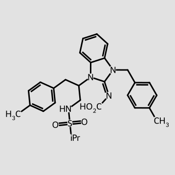 Cc1ccc(CC(CNS(=O)(=O)C(C)C)n2/c(=N\C(=O)O)n(Cc3ccc(C)cc3)c3ccccc32)cc1